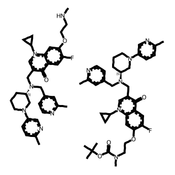 CNCCOc1cc2c(cc1F)c(=O)c(CN(Cc1ccnc(C)c1)[C@H]1CCCN(c3ccc(C)nc3)C1)cn2C1CC1.Cc1ccc(N2CCC[C@H](N(Cc3ccnc(C)c3)Cc3cn(C4CC4)c4cc(OCCN(C)C(=O)OC(C)(C)C)c(F)cc4c3=O)C2)cn1